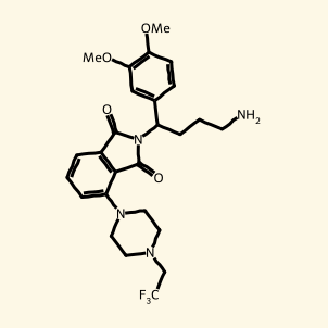 COc1ccc(C(CCCN)N2C(=O)c3cccc(N4CCN(CC(F)(F)F)CC4)c3C2=O)cc1OC